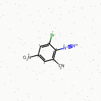 N#Cc1cc([N+](=O)[O-])cc(Br)c1[N+]#N